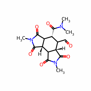 CN(C)C(=O)[C@@H]1C(C=O)[C@@H]2C(=O)N(C)C(=O)C2[C@@H]2C(=O)N(C)C(=O)C21